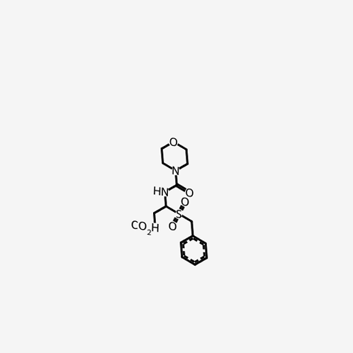 O=C(O)CC(NC(=O)N1CCOCC1)S(=O)(=O)Cc1ccccc1